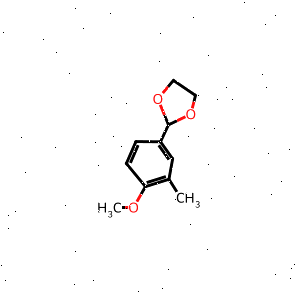 COc1ccc(C2OCCO2)cc1C